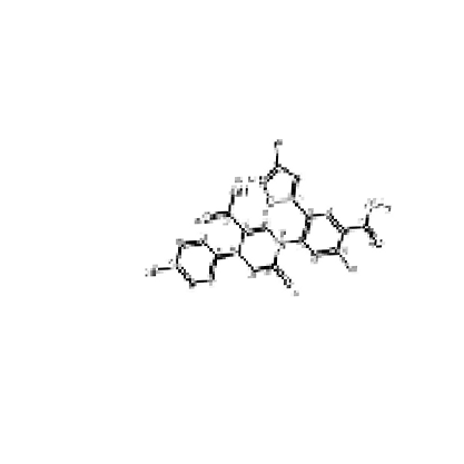 Cc1cc(-c2cc(C(N)=O)c(C)cc2N2C=C(C(=O)O)[C@H](c3ccc(F)cc3)CC2=O)on1